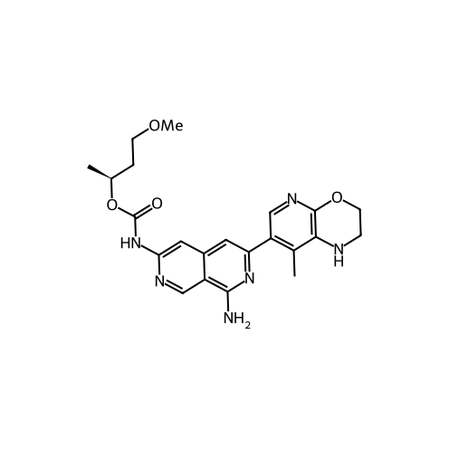 COCC[C@H](C)OC(=O)Nc1cc2cc(-c3cnc4c(c3C)NCCO4)nc(N)c2cn1